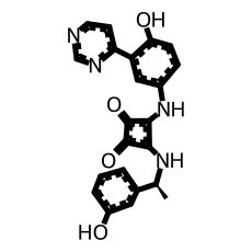 C[C@H](Nc1c(Nc2ccc(O)c(-c3ccncn3)c2)c(=O)c1=O)c1cccc(O)c1